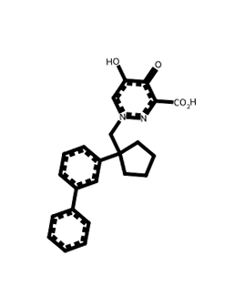 O=C(O)c1nn(CC2(c3cccc(-c4ccccc4)c3)CCCC2)cc(O)c1=O